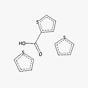 O=C(O)c1cccs1.c1ccsc1.c1ccsc1